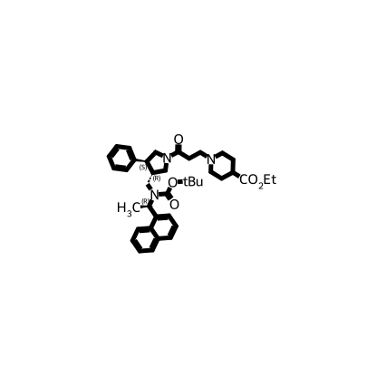 CCOC(=O)C1CCN(CCC(=O)N2C[C@H](CN(C(=O)OC(C)(C)C)[C@H](C)c3cccc4ccccc34)[C@@H](c3ccccc3)C2)CC1